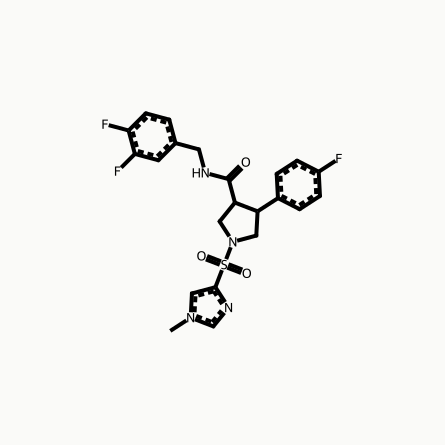 Cn1cnc(S(=O)(=O)N2CC(C(=O)NCc3ccc(F)c(F)c3)C(c3ccc(F)cc3)C2)c1